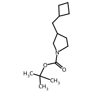 CC(C)(C)OC(=O)N1CCC(CC2CCC2)C1